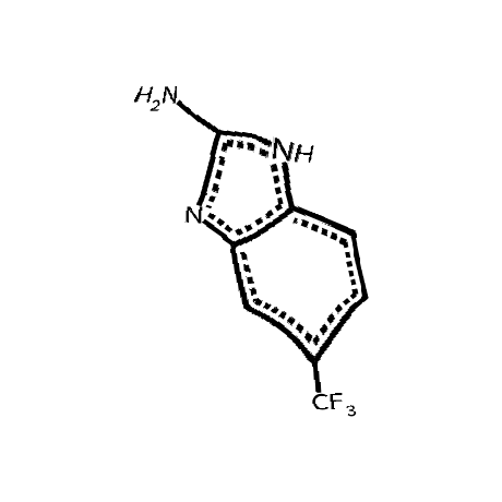 Nc1nc2cc(C(F)(F)F)ccc2[nH]1